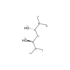 CC(C)[C@@H](O)C[C@H](O)C(C)C